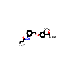 CCCCCC(=O)c1ccc(OCc2cccc(NC(=O)CCC(=O)O)c2)cc1OC